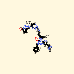 CCCC1/C(=[N+](/C(=O)NCc2ccccc2)c2ccc(-c3cnn(C)c3)cn2)C1CCCNc1ncc(C#N)c(NCC2CCC(=O)N2)n1